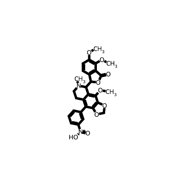 COc1ccc2c(c1OC)C(=O)OC2C1c2c(c(-c3cccc([N+](=O)O)c3)c3c(c2OC)OCO3)CCN1C